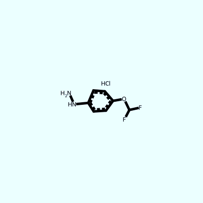 Cl.NNc1ccc(OC(F)F)cc1